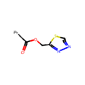 CC(C)C(=O)OCc1nn[c]s1